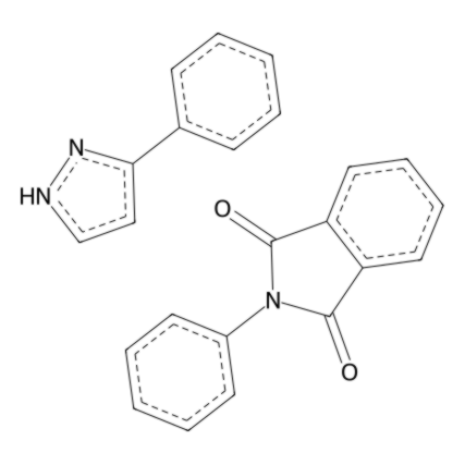 O=C1c2ccccc2C(=O)N1c1ccccc1.c1ccc(-c2cc[nH]n2)cc1